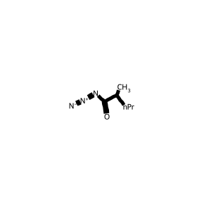 CCCC(C)C(=O)N=[N+]=[N-]